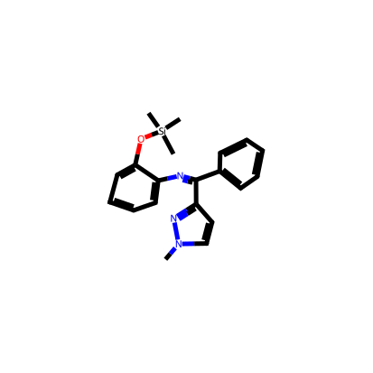 Cn1ccc(C(=Nc2ccccc2O[Si](C)(C)C)c2ccccc2)n1